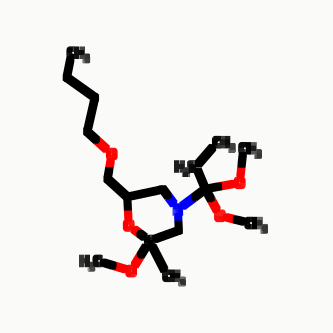 CCCCOCC1CN(C(OC)(OC)[SiH2]C)C[Si](C)(OC)O1